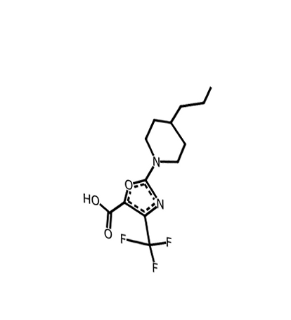 CCCC1CCN(c2nc(C(F)(F)F)c(C(=O)O)o2)CC1